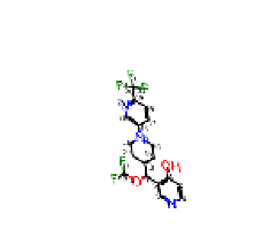 Oc1ccncc1C(OC(F)F)C1CCN(c2ccc(C(F)(F)F)nc2)CC1